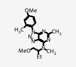 CCC(COC)N(C)c1nc(C)nc2c1nnn2-c1ccc(OC)cc1C